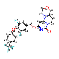 O=c1nc(OCc2cc(F)c(Oc3ccc(C(F)(F)F)cc3)c(F)c2)cc2n1CCC1COCCN21